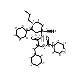 CCCN1CCC(C#N)(NC(=O)C(CC2CCCCC2)NC(=O)N2CCOCC2)CC1C1CCCCC1